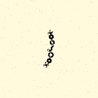 O=C(CCCN1CCN(c2ccc(C(F)(F)F)cc2)CC1)N1CCCN(c2ccc(SC(F)(F)F)cc2)CC1